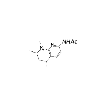 CC(=O)Nc1ccc2c(n1)N(C)C(C)CC2C